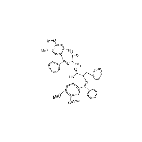 COc1cc2c(cc1OC)C(c1ccccc1)=NC(C)C(=O)N2.COc1cc2c(cc1OC)C(c1ccccc1)=NC(Cc1ccccc1)C(=O)N2